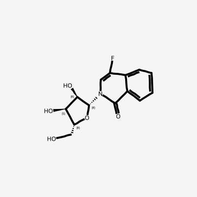 O=c1c2ccccc2c(F)cn1[C@@H]1O[C@H](CO)[C@@H](O)[C@H]1O